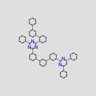 c1ccc(-c2cccc(-c3ccccc3-c3nc(-c4ccccc4)nc(-c4cccc(-c5cccc(-c6cccc(-c7nc(-c8ccccc8)cc(-c8ccccc8)n7)c6)c5)c4)n3)c2)cc1